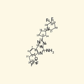 Nc1nc2c3c(ccc2c2nc([C@H]4CC[C@@H](N5CCCC(F)(F)C5)C4)nn12)CCC(F)(F)O3